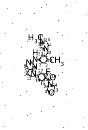 Cc1ccc(Nc2ncc3ccn(-c4ccc(C(=O)N5CCOCC5)c(F)c4)c3n2)cc1CN1CCN(C)CC1